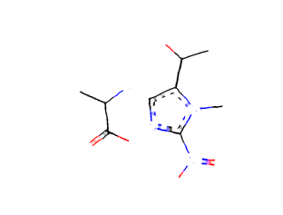 CC(N)C(=O)O.CC(O)c1cnc([N+](=O)[O-])n1C.Cl